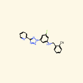 N#Cc1ccccc1CNc1cc(F)cc(-n2nnc(-c3ccccn3)n2)c1